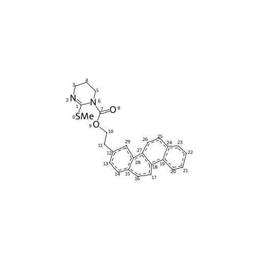 CSC1=NCCCN1C(=O)OCCc1ccc2ccc3c4ccccc4ccc3c2c1